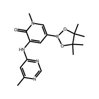 Cc1cc(Nc2cc(B3OC(C)(C)C(C)(C)O3)cn(C)c2=O)ncn1